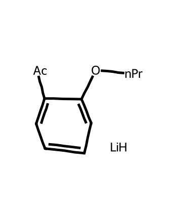 CCCOc1ccccc1C(C)=O.[LiH]